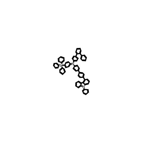 c1ccc(-c2ccccc2-c2ccc(N(c3ccc(-c4ccc(-c5cccc6c5c5ccccc5n6-c5ccccc5)cc4)cc3)c3ccc([Si](c4ccccc4)(c4ccccc4)c4ccccc4)cc3)cc2)cc1